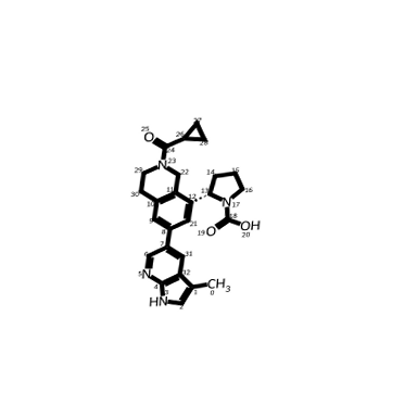 Cc1c[nH]c2ncc(-c3cc4c(c([C@@H]5CCCN5C(=O)O)c3)CN(C(=O)C3CC3)CC4)cc12